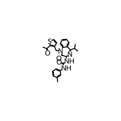 CC(=O)c1sccc1CN1C(=O)C(NC(=O)Nc2cccc(C)c2)N=C(C(C)C)c2ccccc21